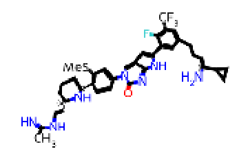 CSc1cc(-n2cc3cc(-c4cc(CCC[C@@H](N)C5CC5)cc(C(F)(F)F)c4F)[nH]c3nc2=O)ccc1[C@@H]1CCC[C@@H](CCNC(C)=N)N1